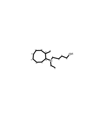 CCN(CCCCO)C1CCCCCCC1C